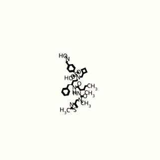 CC[C@H](C)[C@H](NC(=O)N(C)Cc1csc(C)n1)C(=O)N[C@@H](Cc1ccccc1)[C@H](O)CN(CC1CCC1)S(=O)(=O)c1ccc(/C=N/O)cc1